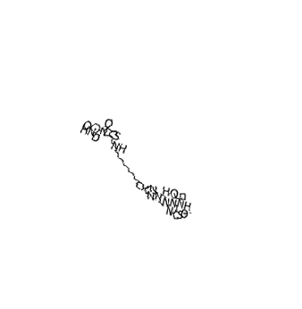 O=C1CCC(N2Cc3c(csc3CNCCCCCCCCCCOc3cnc(N4CCN(c5nc6c(c(NC7(CO)CCC7)n5)[S@+]([O-])CC6)CC4)nc3)C2=O)C(=O)N1